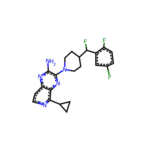 Nc1nc2ccnc(C3CC3)c2nc1N1CCC(C(F)c2cc(F)ccc2F)CC1